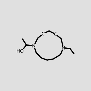 CCN1CCCCCN(C(C)O)CCCCC1